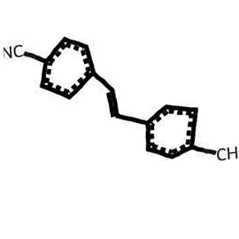 N#Cc1ccc(C=Cc2ccc(C=O)cc2)cc1